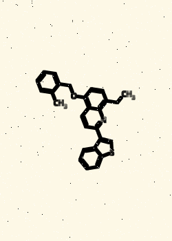 CCc1ccc(OCc2ccccc2C)c2ccc(-c3csc4ccccc34)nc12